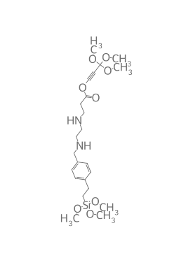 COC(C#COC(=O)CCNCCNCc1ccc(CC[Si](OC)(OC)OC)cc1)(OC)OC